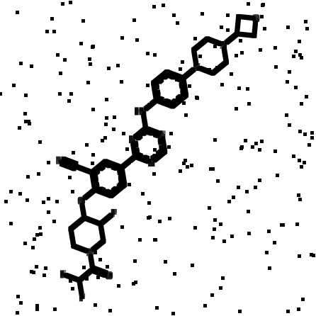 N#Cc1cc(-c2ncnc(Nc3ccc(N4CCN(C5COC5)CC4)cc3)n2)ccc1OC1CCN(C(=O)C(F)F)CC1F